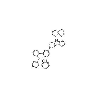 CC1c2ccc(-c3ccc4c(c3)c3ccccc3n4-c3cccc4ccccc34)cc2-c2ccccc2C1c1ccccc1-c1ccccc1